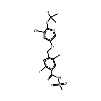 [2H]C(C)(C)Oc1ncc(OCc2cc(F)c(C(=O)NS(C)(=O)=O)cc2Cl)cc1Cl